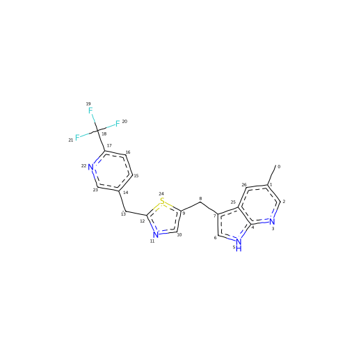 Cc1cnc2[nH]cc(Cc3cnc([CH]c4ccc(C(F)(F)F)nc4)s3)c2c1